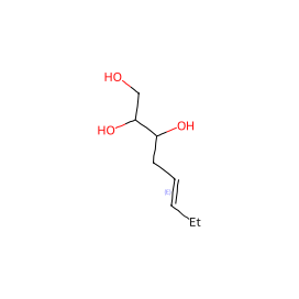 CC/C=C/CC(O)C(O)CO